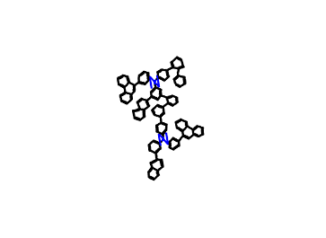 c1ccc(-c2ccccc2-c2ccc(N(c3cc(-c4ccc5ccccc5c4)cc(-c4ccccc4-c4cccc(-c5ccc(N(c6cccc(-c7ccc8ccccc8c7)c6)c6cccc(-c7cc8ccccc8c8ccccc78)c6)cc5)c4)c3)c3cccc(-c4cc5ccccc5c5ccccc45)c3)cc2)cc1